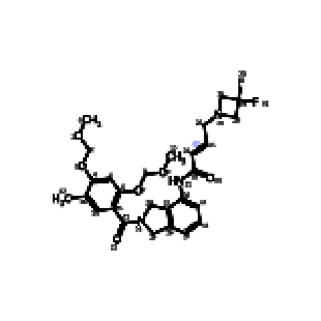 COCOc1cc(OCOC)c(C(=O)N2Cc3cccc(NC(=O)/C=C/CN4CC(F)(F)C4)c3C2)cc1C